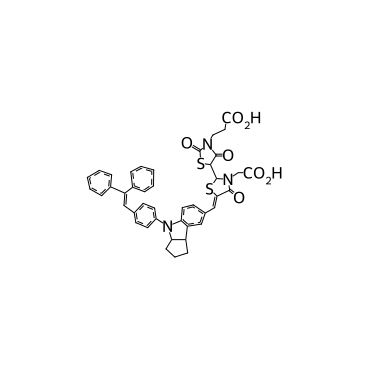 O=C(O)CCN1C(=O)SC(C2S/C(=C\c3ccc4c(c3)C3CCCC3N4c3ccc(C=C(c4ccccc4)c4ccccc4)cc3)C(=O)N2CC(=O)O)C1=O